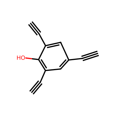 C#Cc1cc(C#C)c(O)c(C#C)c1